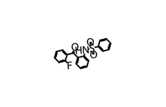 O=C(c1ccccc1F)c1ccccc1NS(=O)(=O)c1ccccc1